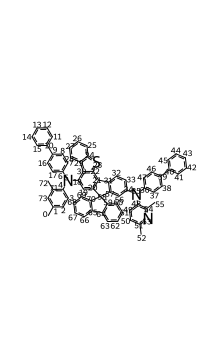 Cc1ccc(N(c2ccc(-c3ccccc3)cc2)c2cc3c(c4sc5ccccc5c24)-c2ccc(N(c4ccc(-c5ccccc5)cc4)c4ccc(C)nc4C)cc2C32c3ccccc3-c3ccccc32)c(C)c1